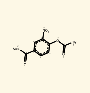 CC[CH]C(=O)Oc1ccc(C(=O)OC)cc1[N+](=O)[O-]